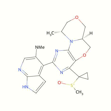 CNc1cnc2[nH]ccc2c1-c1nc2c(c(C3([S+](C)[O-])CC3)n1)OC[C@@H]1COC[C@@H](C)N21